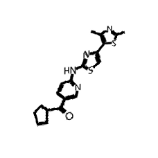 Cc1nc(C)c(-c2csc(Nc3ccc(C(=O)C4CCCC4)cn3)n2)s1